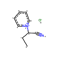 CCC(C#N)[n+]1ccccc1.[Cl-]